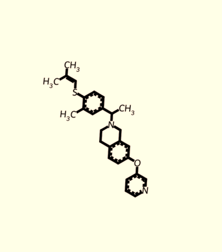 CC(C)=CSc1ccc(C(C)N2CCc3ccc(Oc4cccnc4)cc3C2)cc1C